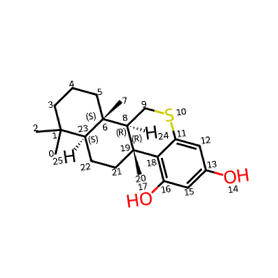 CC1(C)CCC[C@]2(C)[C@H]3CSc4cc(O)cc(O)c4[C@]3(C)CC[C@@H]12